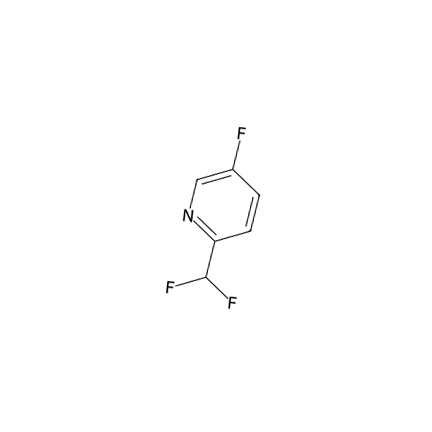 Fc1ccc(C(F)F)nc1